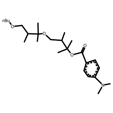 CCCCOCC(C)C(C)(C)OCC(C)C(C)(C)OC(=O)c1ccc(N(C)C)cc1